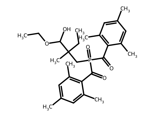 CCOC(O)C(C)(CC)CP(=O)(C(=O)c1c(C)cc(C)cc1C)C(=O)c1c(C)cc(C)cc1C